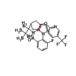 BC(B)(B)C1(B)C2CC(Oc3ccc(C(F)(F)F)cn3)C(C2)N1C(=O)c1cccc(F)c1-n1nccn1